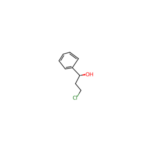 O[C@@H](CCCl)c1ccccc1